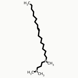 CCCCCCCCC=CCCCCCCCCN(C)CCCN(C)C